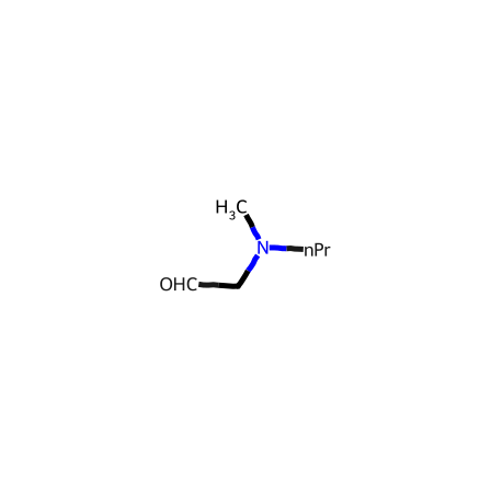 CCCN(C)CC=O